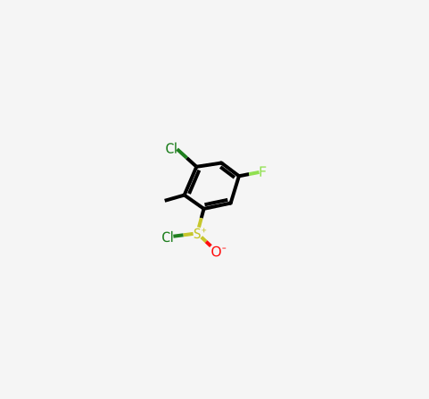 Cc1c(Cl)cc(F)cc1[S+]([O-])Cl